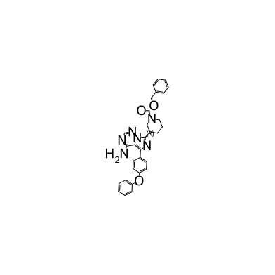 Nc1ncnn2c([C@@H]3CCCN(C(=O)OCc4ccccc4)C3)nc(-c3ccc(Oc4ccccc4)cc3)c12